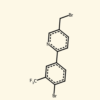 FC(F)(F)c1cc(-c2ccc(CBr)cn2)ccc1Br